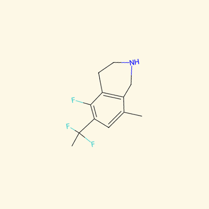 Cc1cc(C(C)(F)F)c(F)c2c1CNCC2